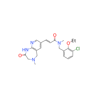 CCOc1c(Cl)cccc1CN(C)C(=O)C=Cc1cnc2c(c1)CN(C)CC(=O)N2